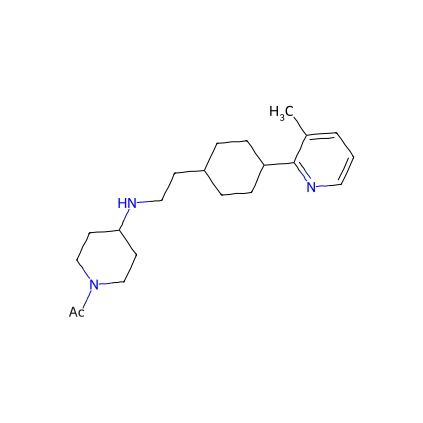 CC(=O)N1CCC(NCCC2CCC(c3ncccc3C)CC2)CC1